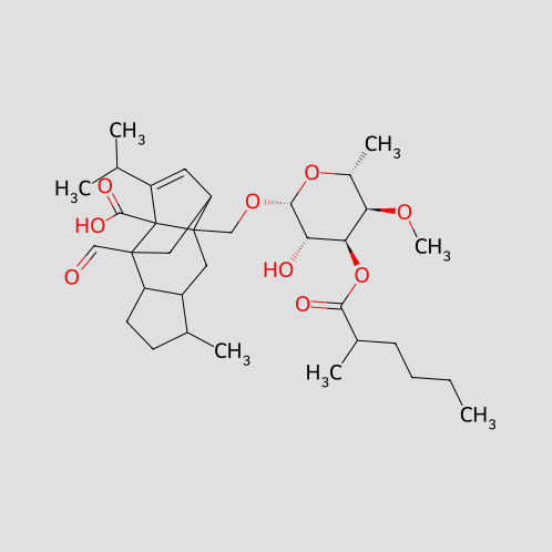 CCCCC(C)C(=O)O[C@H]1[C@H](O)[C@H](OCC23CC4C(C)CCC4C4(C=O)CC2C=C(C(C)C)C43C(=O)O)O[C@H](C)[C@H]1OC